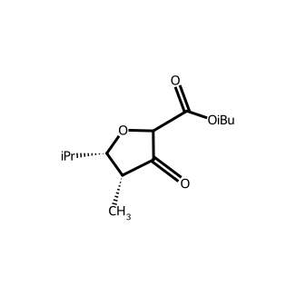 CC(C)COC(=O)C1O[C@@H](C(C)C)[C@@H](C)C1=O